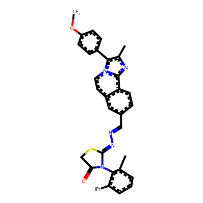 Cc1cccc(C(C)C)c1N1C(=O)CSC1=NN=Cc1ccc2c(ccn3c(-c4ccc(OC(F)(F)F)cc4)c(C)nc23)c1